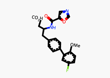 COc1ccc(F)cc1-c1ccc(CC(CC(=O)O)NC(=O)c2cnco2)cc1